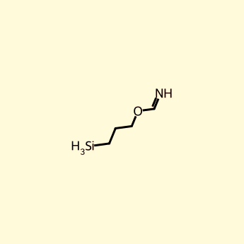 N=COCCC[SiH3]